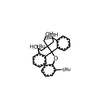 CC(C)(C)c1ccccc1OC(c1ccccc1C(C)(C)C)(c1ccccc1C(C)(C)C)C(CO)(CO)CO